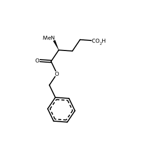 CN[C@@H](CCC(=O)O)C(=O)OCc1ccccc1